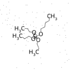 CCCCCO[Si](OCCC)(OCCC)OCCC